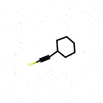 SC#CC1CCCCC1